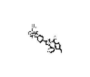 CS(=O)(=O)Nc1ccc(C2=NN(C(=O)c3ccc(I)cc3)C(c3ccco3)C2)cc1